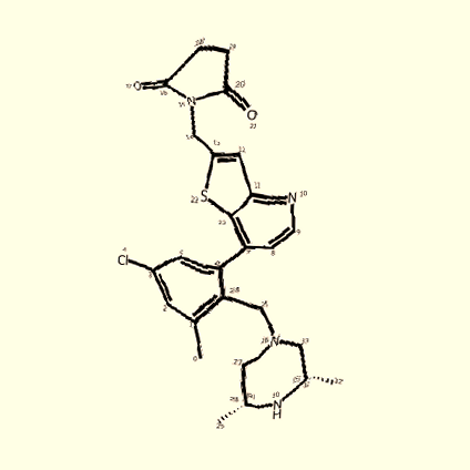 Cc1cc(Cl)cc(-c2ccnc3cc(CN4C(=O)CCC4=O)sc23)c1CN1C[C@@H](C)N[C@@H](C)C1